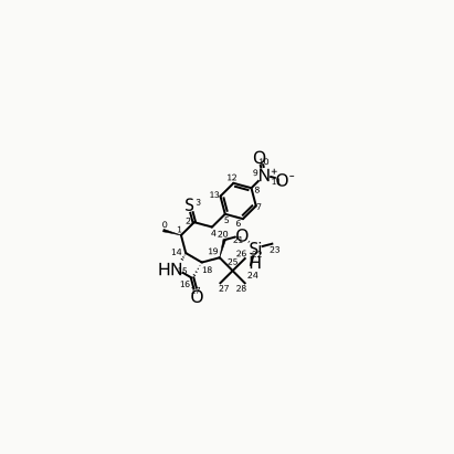 C[C@@H](C(=S)Cc1ccc([N+](=O)[O-])cc1)[C@H]1NC(=O)[C@H]1[C@@H](CO[SiH](C)C)C(C)(C)C